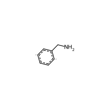 NCc1[c]cc[c]c1